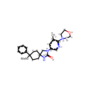 CNC1(c2ccccc2)CCC2(CC1)CN(c1cnc(N3CCOCC3)c(C(F)(F)F)c1)C(=O)N2